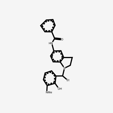 CCC(c1cccc(NC)c1O)N1CCc2cc(NC(=O)c3ccccc3)ccc21